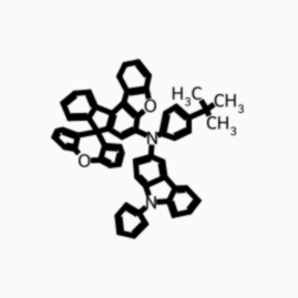 CC(C)(C)c1ccc(N(c2ccc3c(c2)c2ccccc2n3-c2ccccc2)c2cc3c(c4c5c(oc24)C=CCC5)-c2ccccc2C32c3ccccc3Oc3ccccc32)cc1